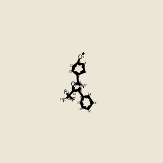 COc1ccc(-c2nc(-c3ccccc3)c(C(F)(F)F)o2)cc1